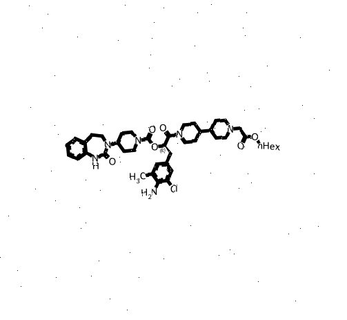 CCCCCCOC(=O)CN1CCC(C2CCN(C(=O)[C@@H](Cc3cc(C)c(N)c(Cl)c3)OC(=O)N3CCC(N4CCc5ccccc5NC4=O)CC3)CC2)CC1